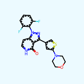 O=c1[nH]ccc2c1c(-c1csc(N3CCOCC3)c1)nn2-c1c(F)cccc1F